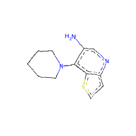 Nc1cnc2ccsc2c1N1CCCCC1